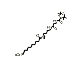 CCCCCCCCC=CCCCCCCCC(=O)NCCCCNC(=O)CCNC(=O)C1OC(C)(C)OCC1(C)C